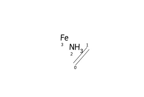 C=C.N.[Fe]